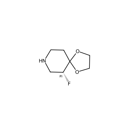 F[C@@H]1CNCCC12OCCO2